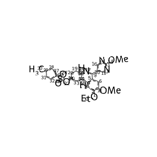 CCOc1cc2c(cc1OC)C(c1cnc(OC)nc1)=N[C@@H]1CC[C@@H](OS(=O)(=O)c3ccc(C)cc3)C[C@H]21